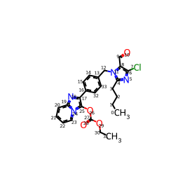 CCCCc1nc(Cl)c(C=O)n1Cc1ccc(-c2nc3ccccn3c2OC(=O)OCC)cc1